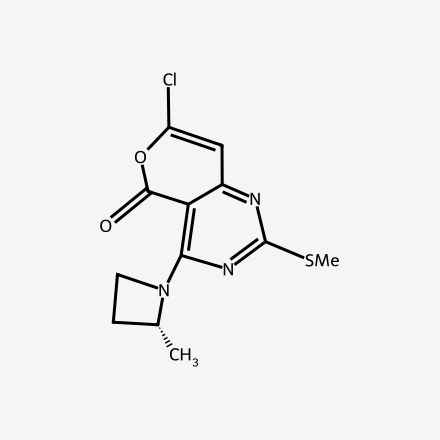 CSc1nc(N2CC[C@H]2C)c2c(=O)oc(Cl)cc2n1